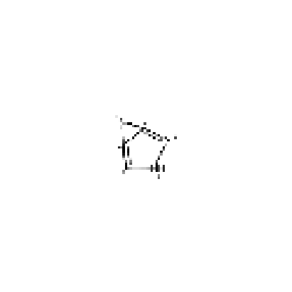 c1[nH]nc2c1S2